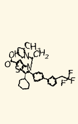 C=C(Cn1c(-c2ccc(-c3cccc(CC(F)(F)F)c3)cc2)c(C2CCCCC2)c2sc(C(=O)O)cc21)N1CCCC1C